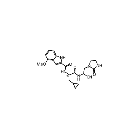 COc1cccc2[nH]c(C(=O)N[C@@H](CC3CC3)C(=O)NC(C#N)CN3CCNC3=O)cc12